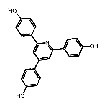 Oc1ccc(-c2cc(-c3ccc(O)cc3)nc(-c3ccc(O)cc3)c2)cc1